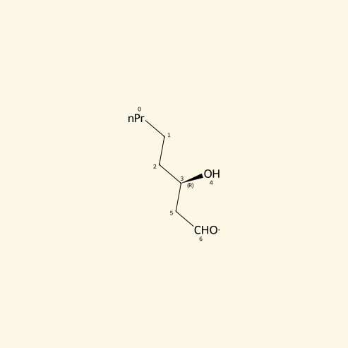 CCCCC[C@@H](O)C[C]=O